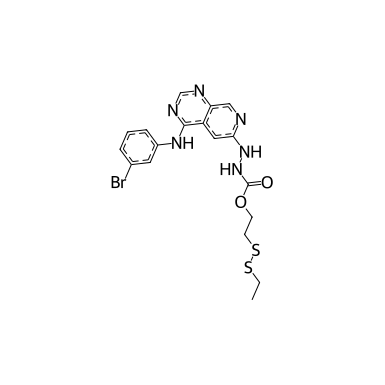 CCSSCCOC(=O)NNc1cc2c(Nc3cccc(Br)c3)ncnc2cn1